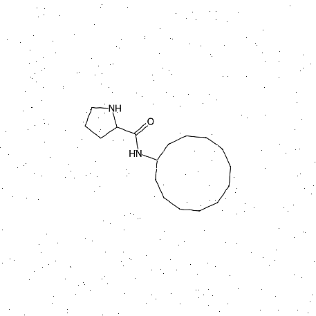 O=C(NC1CCCCCCCCCCC1)C1CCCN1